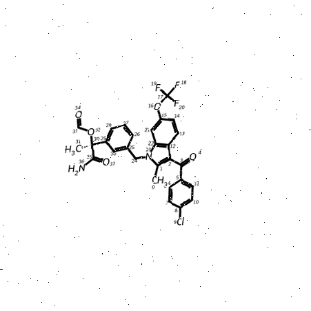 Cc1c(C(=O)c2ccc(Cl)cc2)c2ccc(OC(F)(F)F)cc2n1Cc1cccc([C@](C)(OC=O)C(N)=O)c1